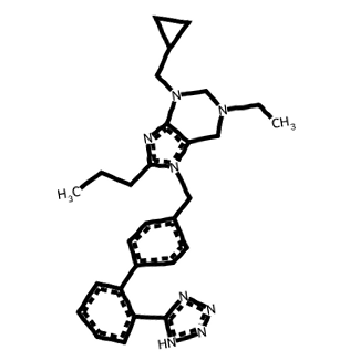 CCCc1nc2c(n1Cc1ccc(-c3ccccc3-c3nnn[nH]3)cc1)CN(CC)CN2CC1CC1